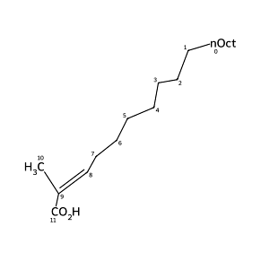 CCCCCCCCCCCCCCC/C=C(\C)C(=O)O